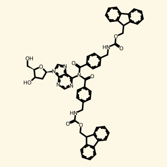 O=C(NCc1ccc(C(=O)N(C(=O)c2ccc(CNC(=O)OCC3c4ccccc4-c4ccccc43)cc2)c2ncnc3c2ncn3[C@H]2CC(O)[C@@H](CO)O2)cc1)OCC1c2ccccc2-c2ccccc21